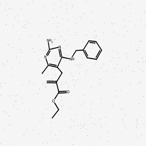 C=C(Cc1c(C)nc(N)nc1NCc1ccccc1)C(=O)OCC